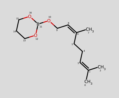 CC(C)=CCCC(C)=CCOB1OCCCO1